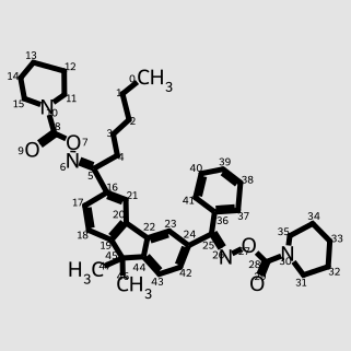 CCCCC/C(=N\OC(=O)N1CCCCC1)c1ccc2c(c1)-c1cc(/C(=N/OC(=O)N3CCCCC3)c3ccccc3)ccc1C2(C)C